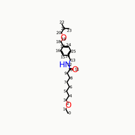 CCOCCCCCCCC(=O)NCc1ccc(COCC(C)C)cc1